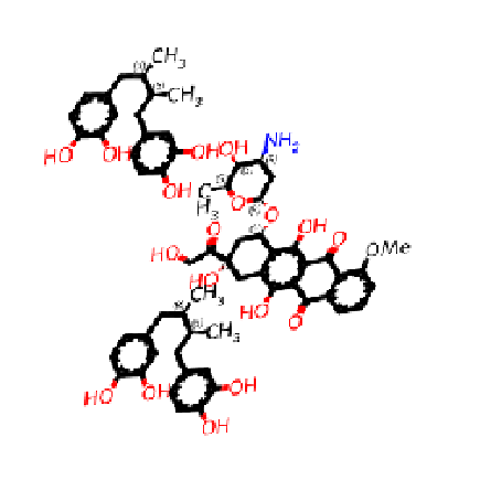 COc1cccc2c1C(=O)c1c(O)c3c(c(O)c1C2=O)C[C@@](O)(C(=O)CO)C[C@@H]3O[C@H]1C[C@H](N)[C@H](O)[C@H](C)O1.C[C@H](Cc1ccc(O)c(O)c1)[C@@H](C)Cc1ccc(O)c(O)c1.C[C@H](Cc1ccc(O)c(O)c1)[C@@H](C)Cc1ccc(O)c(O)c1